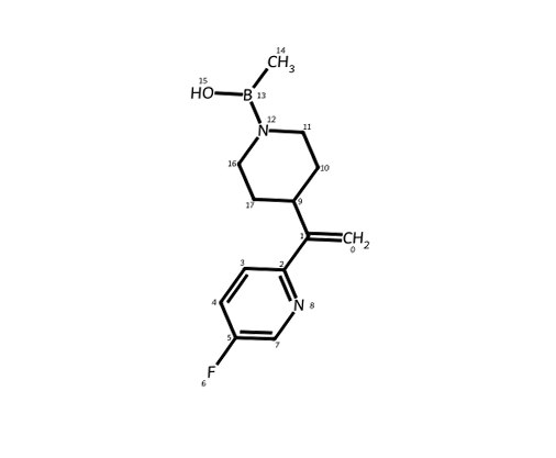 C=C(c1ccc(F)cn1)C1CCN(B(C)O)CC1